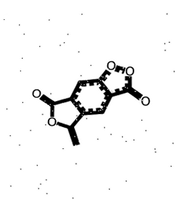 C=C1OC(=O)c2cc3ooc(=O)c3cc21